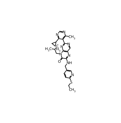 CCSc1ccc(CNc2nc3cnc(-c4c(C)ncnc4C4CC4)nc3n(CC(C)C)c2=O)cn1